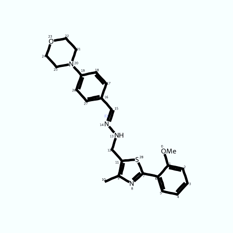 COc1ccccc1-c1nc(C)c(CN/N=C/c2ccc(N3CCOCC3)cc2)s1